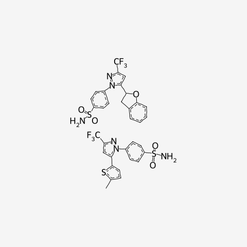 Cc1ccc(-c2cc(C(F)(F)F)nn2-c2ccc(S(N)(=O)=O)cc2)s1.NS(=O)(=O)c1ccc(-n2nc(C(F)(F)F)cc2C2Cc3ccccc3O2)cc1